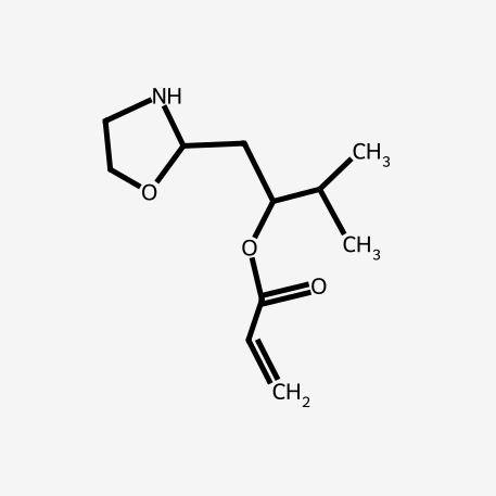 C=CC(=O)OC(CC1NCCO1)C(C)C